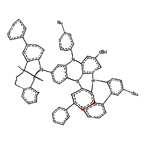 CC(C)(C)c1ccc(N2c3cc(N4c5ccc(-c6ccccc6)cc5C5(C)CCc6ccccc6C45C)ccc3B3c4cc(-c5ccccc5)ccc4N(c4ccc(C(C)(C)C)cc4-c4ccccc4)c4cc(C(C)(C)C)cc2c43)cc1